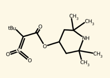 CC1(C)CC(OC(=O)C(=S(=O)=O)C(C)(C)C)CC(C)(C)N1